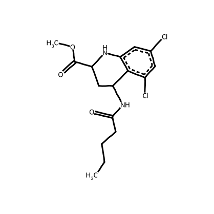 CCCCC(=O)NC1CC(C(=O)OC)Nc2cc(Cl)cc(Cl)c21